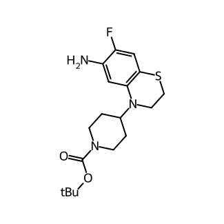 CC(C)(C)OC(=O)N1CCC(N2CCSc3cc(F)c(N)cc32)CC1